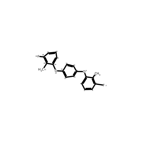 Cc1c(F)cccc1Oc1ccc(Oc2cccc(F)c2C)cc1